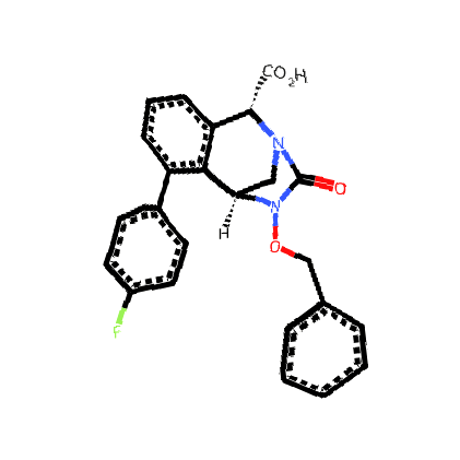 O=C(O)[C@H]1c2cccc(-c3ccc(F)cc3)c2[C@H]2CN1C(=O)N2OCc1ccccc1